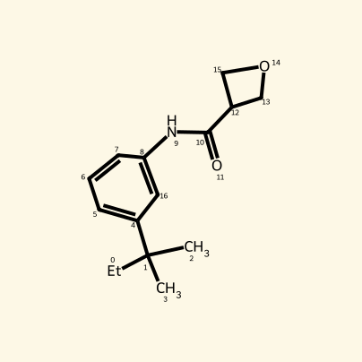 CCC(C)(C)c1cccc(NC(=O)C2COC2)c1